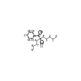 CCCCCC(CCCC)(OC)C(=O)c1ccccc1